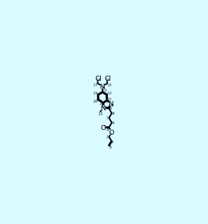 C=CCOC(=O)CCCc1nc2cc(N(CCl)CCl)ccc2n1C